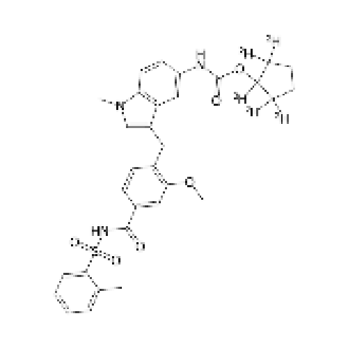 [2H]C1([2H])CCC([2H])([2H])C1([2H])OC(=O)Nc1ccc2c(c1)c(Cc1ccc(C(=O)NS(=O)(=O)c3ccccc3C)cc1OC)cn2C